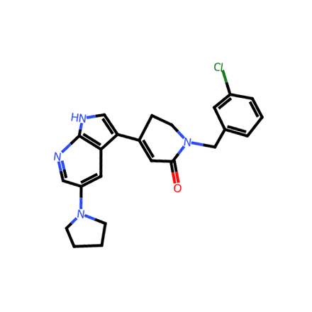 O=C1C=C(c2c[nH]c3ncc(N4CCCC4)cc23)CCN1Cc1cccc(Cl)c1